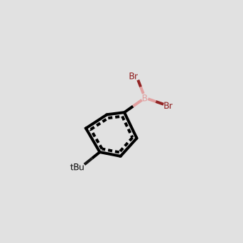 CC(C)(C)c1ccc(B(Br)Br)cc1